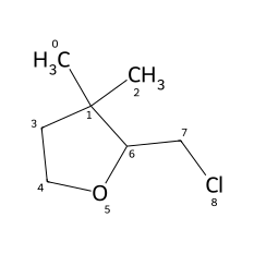 CC1(C)CCOC1CCl